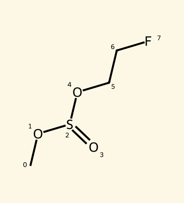 COS(=O)OCCF